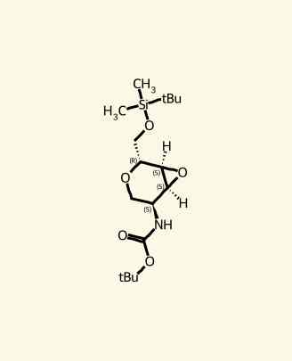 CC(C)(C)OC(=O)N[C@H]1CO[C@H](CO[Si](C)(C)C(C)(C)C)[C@H]2O[C@H]21